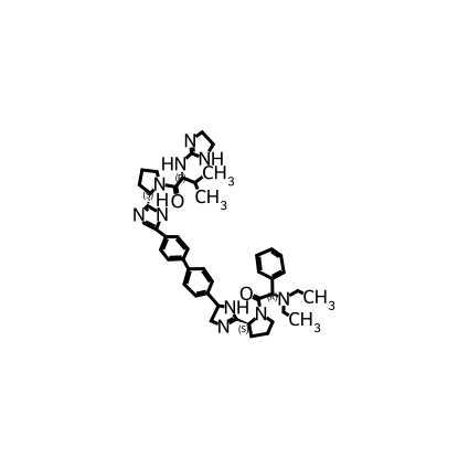 CCN(CC)[C@@H](C(=O)N1CCC[C@H]1C1=NCC(c2ccc(-c3ccc(-c4cnc([C@@H]5CCCN5C(=O)[C@H](NC5=NCCN5)C(C)C)[nH]4)cc3)cc2)N1)c1ccccc1